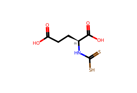 O=C(O)CC[C@H](NC(=S)S)C(=O)O